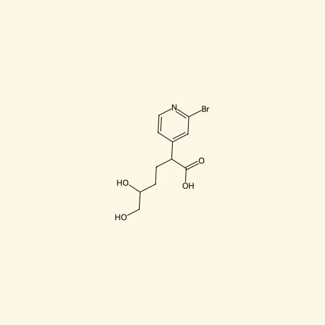 O=C(O)C(CCC(O)CO)c1ccnc(Br)c1